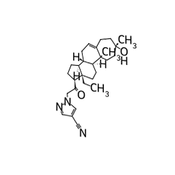 CC[C@]12CC[C@H]3[C@@H](CC=C4CC[C@](C)(O)CC[C@@]43C)[C@@H]1CC[C@@H]2C(=O)Cn1cc(C#N)cn1